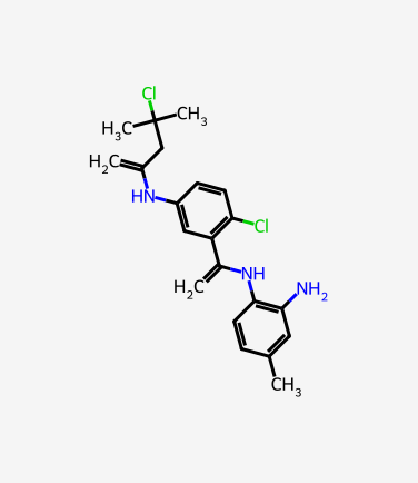 C=C(CC(C)(C)Cl)Nc1ccc(Cl)c(C(=C)Nc2ccc(C)cc2N)c1